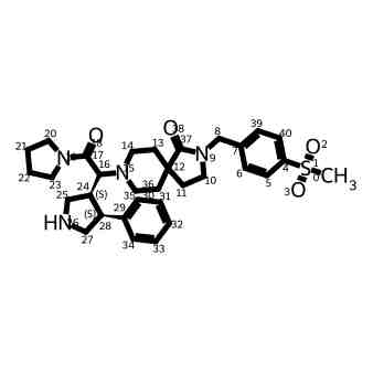 CS(=O)(=O)c1ccc(CN2CCC3(CCN(C(C(=O)N4CCCC4)[C@@H]4CNC[C@@H]4c4ccccc4)CC3)C2=O)cc1